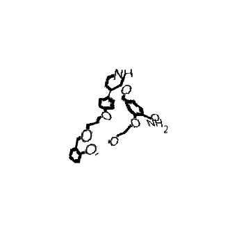 COCCCOc1cc(CO[C@H]2CNCC[C@@H]2c2ccc(OCCCOCc3ccccc3OC)cc2)ccc1C(N)=O